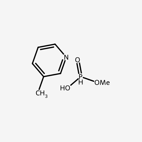 CO[PH](=O)O.Cc1cccnc1